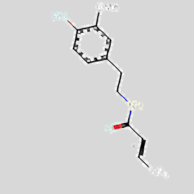 C/C=C/C(=O)NCCc1ccc(O)c(OC)c1